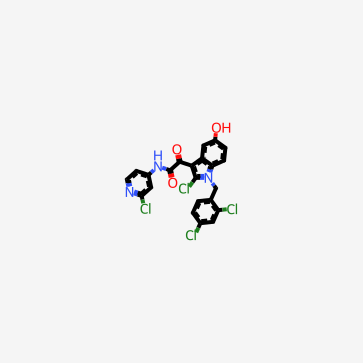 O=C(Nc1ccnc(Cl)c1)C(=O)c1c(Cl)n(Cc2ccc(Cl)cc2Cl)c2ccc(O)cc12